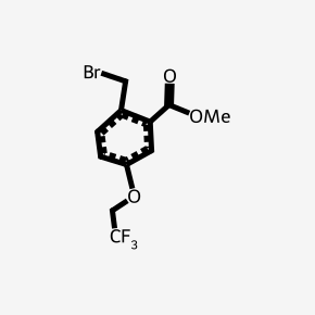 COC(=O)c1cc(OCC(F)(F)F)ccc1CBr